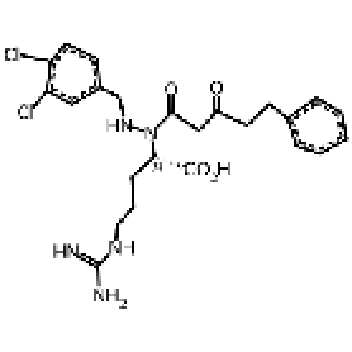 N=C(N)NCCC[C@@H](C(=O)O)N(NCc1ccc(Cl)c(Cl)c1)C(=O)CC(=O)CCc1ccccc1